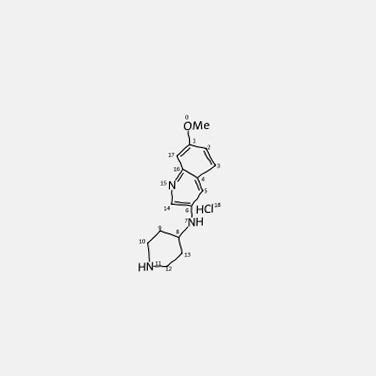 COc1ccc2cc(NC3CCNCC3)cnc2c1.Cl